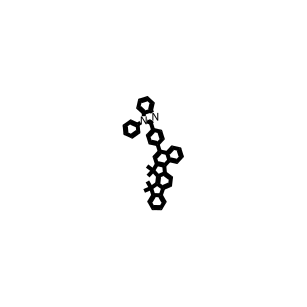 CC1(C)c2ccccc2-c2ccc3c(c21)C(C)(C)c1cc(-c2ccc(-c4nc5ccccc5n4-c4ccccc4)cc2)c2ccccc2c1-3